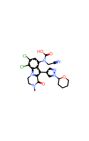 CN1CCn2c(c(-c3cnn(C4CCCCO4)c3)c3c(N(CC#N)C(=O)O)cc(Cl)c(Cl)c32)C1=O